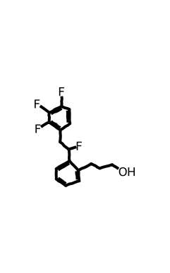 OCCCc1ccccc1C(F)Cc1ccc(F)c(F)c1F